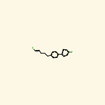 F/C=C/CCCc1ccc(-c2ccc(F)cc2)cc1